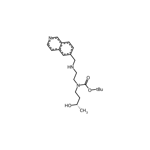 C[C@H](O)CCN(CCNCc1ccc2cnccc2c1)C(=O)OC(C)(C)C